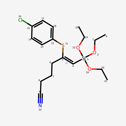 CCO[Si](/C=C(/CCCC#N)Sc1ccc(Cl)cc1)(OCC)OCC